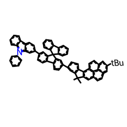 CC(C)(C)c1cc2ccc3cc4c(c5ccc(c1)c2c35)-c1ccc(-c2ccc3c(c2)C2(c5ccccc5-c5ccccc52)c2cc(-c5ccc6c7ccccc7n(-c7ccccc7)c6c5)ccc2-3)cc1C4(C)C